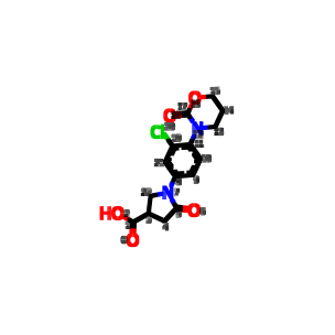 O=C(O)C1CC(=O)N(c2ccc(N3CCCOC3=O)c(Cl)c2)C1